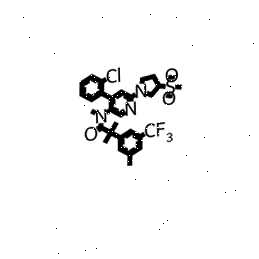 Cc1cc(C(F)(F)F)cc(C(C)(C)C(=O)N(C)c2cnc(N3CCC(S(C)(=O)=O)C3)cc2-c2ccccc2Cl)c1